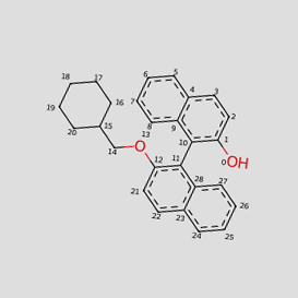 Oc1ccc2ccccc2c1-c1c(OCC2CCCCC2)ccc2ccccc12